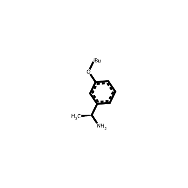 CCC(C)Oc1cccc([C@H](C)N)c1